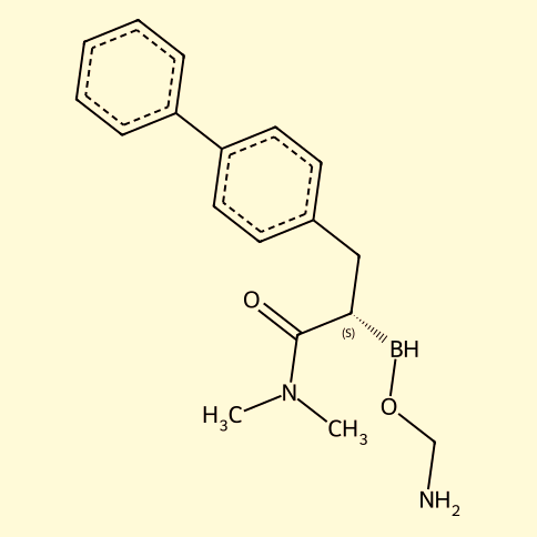 CN(C)C(=O)[C@@H](BOCN)Cc1ccc(-c2ccccc2)cc1